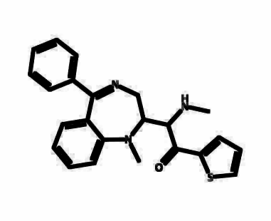 CNC(C(=O)c1cccs1)C1CN=C(c2ccccc2)c2ccccc2N1C